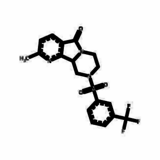 Cc1ccc2c(n1)C1CN(S(=O)(=O)c3cccc(C(F)(F)F)c3)CCN1C2=O